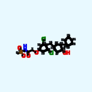 CS(=O)(=O)NC(=O)COc1cc(Cl)c(Cc2ccc(O)c(-c3ccccc3)c2)c(Cl)c1